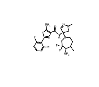 CC1CCN([C@]2(NC(=O)c3nc(-c4c(F)cccc4F)sc3N)C=NN(C)C2)CC(F)(F)C1N